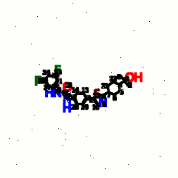 CC(C)(O)C1CCC(c2ncc(-c3ccc(NC(=O)Nc4cc(F)cc(F)c4)cc3)s2)CC1